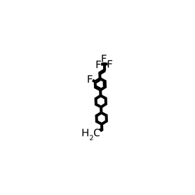 C=CC1CCC(C2CCC(c3ccc(/C=C/C(F)(F)F)c(F)c3)CC2)CC1